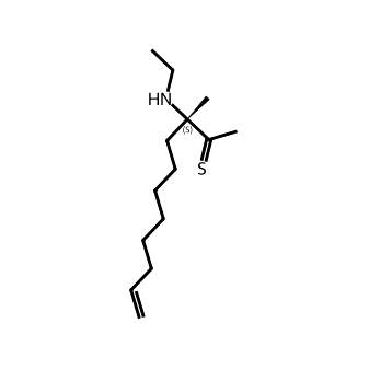 C=CCCCCCC[C@](C)(NCC)C(C)=S